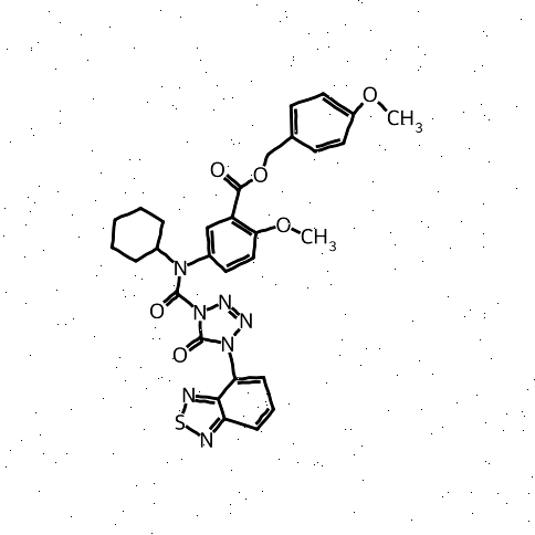 COc1ccc(COC(=O)c2cc(N(C(=O)n3nnn(-c4cccc5nsnc45)c3=O)C3CCCCC3)ccc2OC)cc1